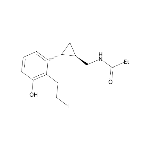 CCC(=O)NC[C@@H]1C[C@H]1c1cccc(O)c1CCI